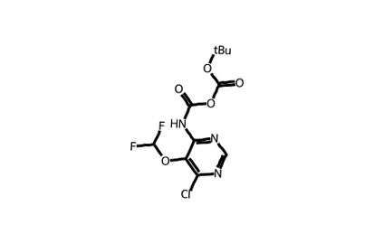 CC(C)(C)OC(=O)OC(=O)Nc1ncnc(Cl)c1OC(F)F